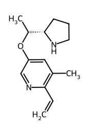 C=Cc1ncc(OC(C)[C@@H]2CCCN2)cc1C